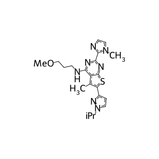 COCCCNc1nc(-c2nccn2C)nc2sc(-c3ccn(C(C)C)n3)c(C)c12